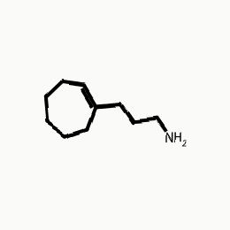 NCCCC1=CCCCCC1